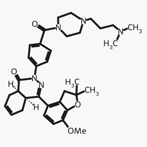 COc1ccc(C2=NN(c3ccc(C(=O)N4CCN(CCCN(C)C)CC4)cc3)C(=O)[C@@H]3CC=CC[C@H]23)c2c1OC(C)(C)C2